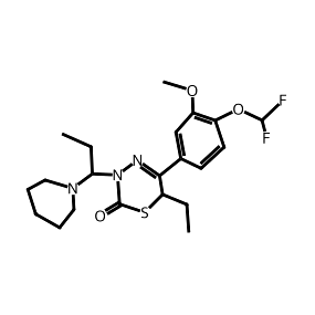 CCC1SC(=O)N(C(CC)N2CCCCC2)N=C1c1ccc(OC(F)F)c(OC)c1